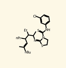 CCCC/C(C)=C/C(CCC)C(CC)C(C)/N=C1/SCCN1C(=S)Nc1cccc(Cl)c1